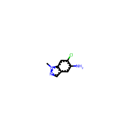 Cn1ncc2cc(N)c(Cl)cc21